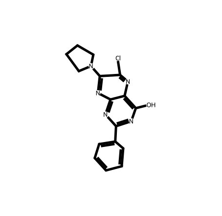 Oc1nc(-c2ccccc2)nc2nc(N3CCCC3)c(Cl)nc12